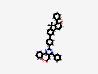 CC1(C)c2ccc(-c3ccc(-c4nc(-c5ccccc5)c5c(n4)-c4ccccc4OCC5)cc3)cc2-c2ccc3oc4ccccc4c3c21